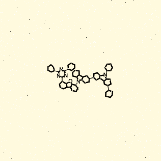 c1ccc(-c2ccc3c(c2)c2cc(-c4ccc5c(c4)c4ccccc4n5-c4cccc5c4oc4c(-c6nc(-c7ccccc7)nc(-c7ccccc7)n6)cccc45)ccc2n3-c2ccccc2)cc1